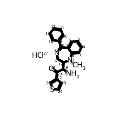 CN1c2ccccc2C(c2ccccc2)=NCC1C(N)C(=O)c1ccsc1.Cl